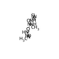 Cc1noc(-c2cc3cc(-c4nc(C(=O)NCc5nnc6n5CCC6)[nH]c4C)ccc3[nH]2)n1